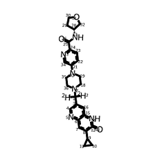 [2H]C([2H])(c1cnc2cc(C3CC3)c(=O)[nH]c2c1)N1CCN(c2ccc(C(=O)N[C@@H]3CCOC3)nc2)CC1